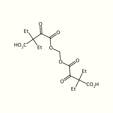 CCC(CC)(C(=O)O)C(=O)C(=O)OCOC(=O)C(=O)C(CC)(CC)C(=O)O